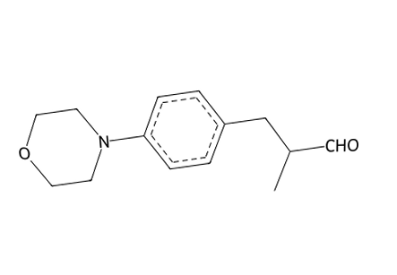 CC(C=O)Cc1ccc(N2CCOCC2)cc1